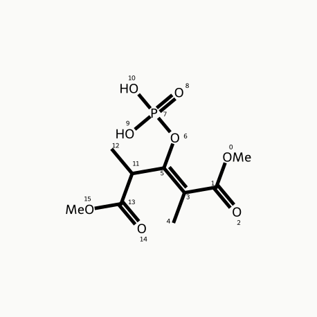 COC(=O)C(C)=C(OP(=O)(O)O)C(C)C(=O)OC